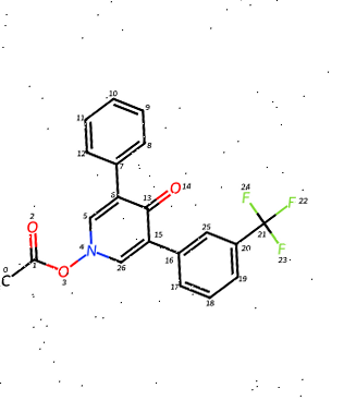 CC(=O)On1cc(-c2ccccc2)c(=O)c(-c2cccc(C(F)(F)F)c2)c1